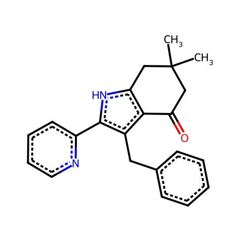 CC1(C)CC(=O)c2c([nH]c(-c3ccccn3)c2Cc2ccccc2)C1